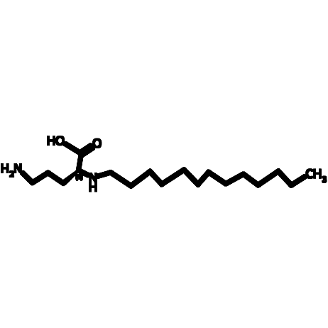 CCCCCCCCCCCCCN[C@@H](CCCN)C(=O)O